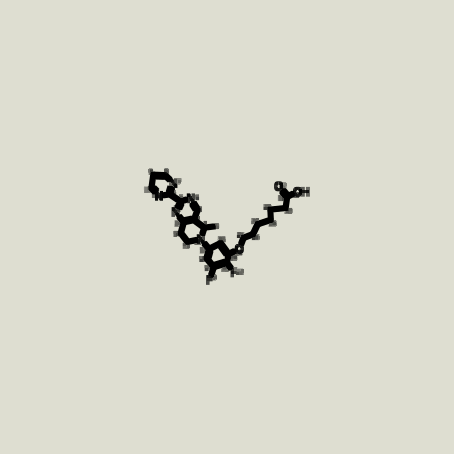 CC1c2cnc(-c3ncccn3)nc2CCN1c1cc(F)c(F)c(OCCCCCCC(=O)O)c1